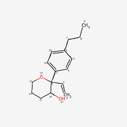 C=CC1(c2ccc(CCC)cc2)OCCCC1O